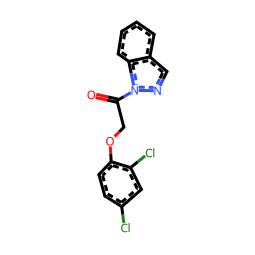 O=C(COc1ccc(Cl)cc1Cl)n1ncc2ccccc21